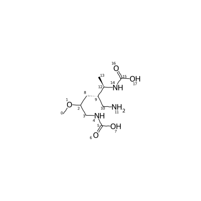 COC(CNC(=O)O)C[C@@H](CN)[C@@H](C)NC(=O)O